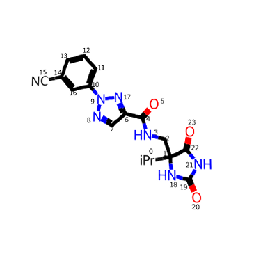 CC(C)C1(CNC(=O)c2cnn(-c3cccc(C#N)c3)n2)NC(=O)NC1=O